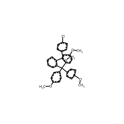 COc1ccc(C(c2ccc(OC)cc2)(c2ccc(OC)cc2)c2ccccc2[C@@H](OP)c2ccc(Cl)cc2)cc1